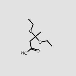 CCOC(C)(CC(=O)O)OCC